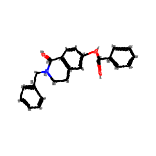 O=C(Oc1ccc2c(c1)CCN(Cc1ccccc1)C2=O)c1ccccc1